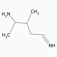 CC(N)C(C)CC=N